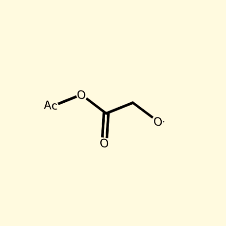 CC(=O)OC(=O)C[O]